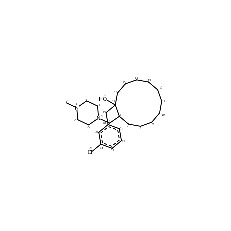 CN1CCN(CC2CCCCCCCCCCC2(O)Cc2cccc(Cl)c2)CC1